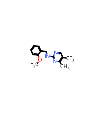 Cc1nc(NCc2ccccc2OC(F)(F)F)ncc1C(F)(F)F